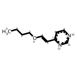 CCCCOC=Cc1ccncn1